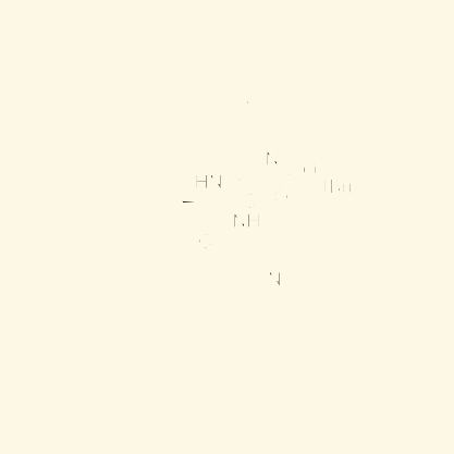 CC(C)(C)OC(=O)N1CC(=O)C[C@H]1C(=S)N[C@H](CCC1CCCCC1)C(=O)NC1CCN(Cc2ccccc2)CC1